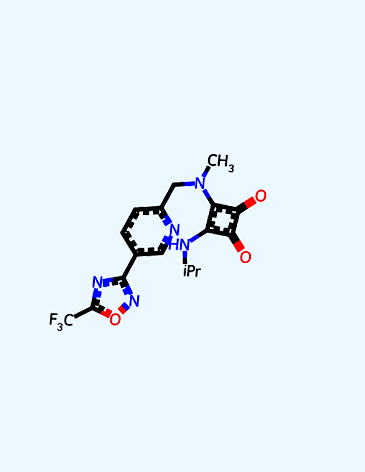 CC(C)Nc1c(N(C)Cc2ccc(-c3noc(C(F)(F)F)n3)cn2)c(=O)c1=O